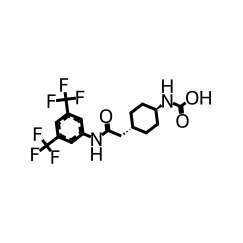 O=C(C[C@H]1CC[C@H](NC(=O)O)CC1)Nc1cc(C(F)(F)F)cc(C(F)(F)F)c1